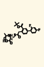 C=C(OC(C)(C)C)c1cc(-c2ccc(F)cc2F)ccc1CC(=O)SC[C@@H](NC(C)=O)C(=O)O